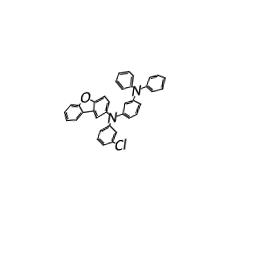 Clc1cccc(N(c2cccc(N(c3ccccc3)c3ccccc3)c2)c2ccc3oc4ccccc4c3c2)c1